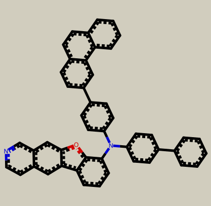 c1ccc(-c2ccc(N(c3ccc(-c4ccc5ccc6ccccc6c5c4)cc3)c3cccc4c3oc3cc5cnccc5cc34)cc2)cc1